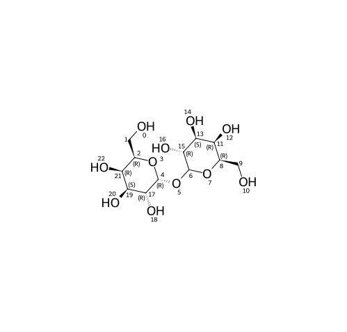 OC[C@H]1O[C@H](OC2O[C@H](CO)[C@H](O)[C@H](O)[C@H]2O)[C@H](O)[C@@H](O)[C@H]1O